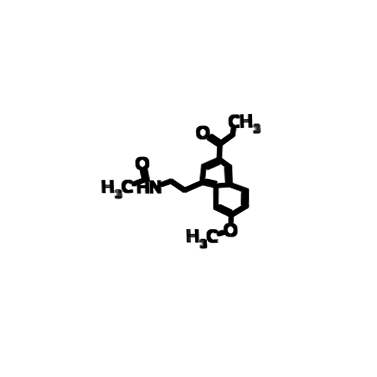 CCC(=O)c1cc(CCNC(C)=O)c2cc(OC)ccc2c1